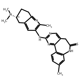 Cc1ccc2c(c1)NC(=S)Cc1cnc(Nc3cc4c(nc3C)CC[C@@H](N(C)C)C4)nc1-2